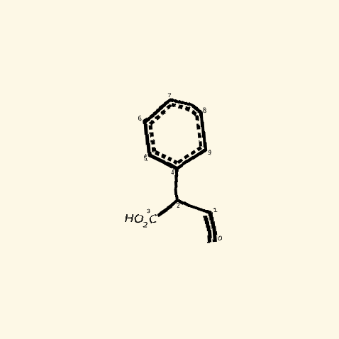 C=CC(C(=O)O)c1[c]cccc1